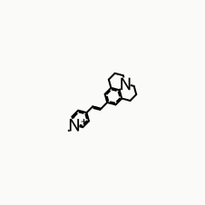 C[n+]1ccc(C=Cc2cc3c4c(c2)CCCN4CCC3)cc1